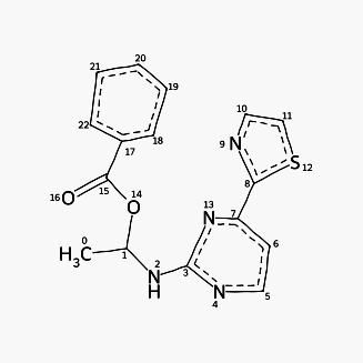 CC(Nc1nccc(-c2nccs2)n1)OC(=O)c1ccccc1